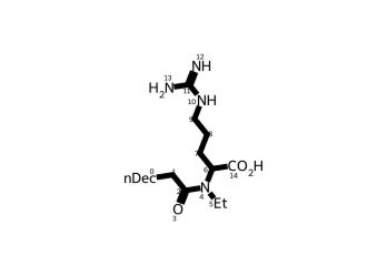 CCCCCCCCCCCC(=O)N(CC)C(CCCNC(=N)N)C(=O)O